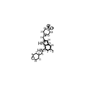 Cc1cc(NCC2CCOCC2)c2[nH]c(CN3CCS(=O)(=O)CC3)cc2c1